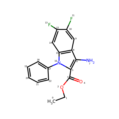 CCOC(=O)c1c(N)c2cc(F)c(F)cc2n1-c1ccccc1